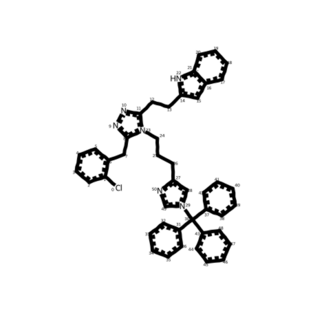 Clc1ccccc1Cc1nnc(CCc2cc3ccccc3[nH]2)n1CCCc1cn(C(c2ccccc2)(c2ccccc2)c2ccccc2)cn1